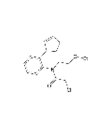 CCOCCN(C(=O)CCl)c1ccccc1C1C=CCC1